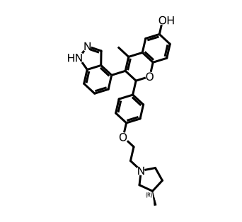 CC1=C(c2cccc3[nH]ncc23)C(c2ccc(OCCN3CC[C@@H](C)C3)cc2)Oc2ccc(O)cc21